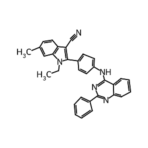 CCn1c(-c2ccc(Nc3nc(-c4ccccc4)nc4ccccc34)cc2)c(C#N)c2ccc(C)cc21